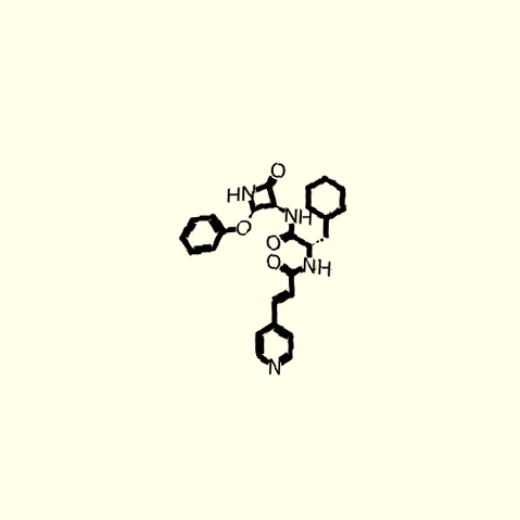 O=C(C=Cc1ccncc1)N[C@@H](CC1CCCCC1)C(=O)N[C@@H]1C(=O)N[C@H]1Oc1ccccc1